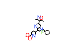 COC(=O)c1ccc(-c2cn(CC3(F)CCCCC3)c3cc(-c4c(C)noc4C)cnc23)cn1